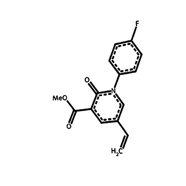 C=Cc1cc(C(=O)OC)c(=O)n(-c2ccc(F)cc2)c1